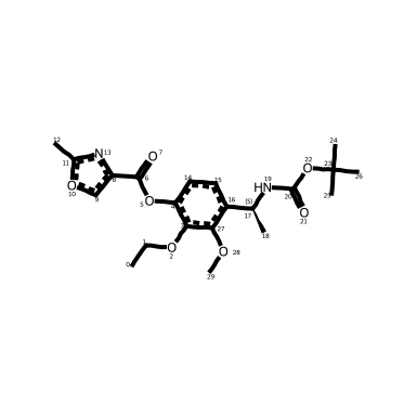 CCOc1c(OC(=O)c2coc(C)n2)ccc([C@H](C)NC(=O)OC(C)(C)C)c1OC